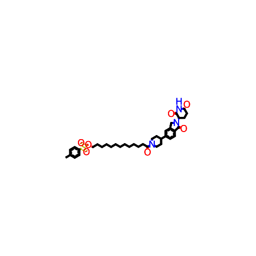 Cc1ccc(S(=O)(=O)OCCCCCCCCCCCCC(=O)N2CCC(c3ccc4c(c3)CN(C3CCC(=O)NC3=O)C4=O)CC2)cc1